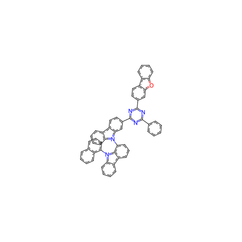 c1ccc(-c2nc(-c3ccc4c(c3)oc3ccccc34)nc(-c3ccc4c5ccccc5n(-c5cccc6c7ccccc7n(-c7cccc8ccccc78)c56)c4c3)n2)cc1